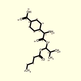 CCCCC(=O)OC(OC(=O)C(N)C1CCC(C(=O)O)CC1)C(C)C